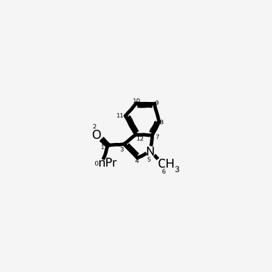 CCCC(=O)c1cn(C)c2ccccc12